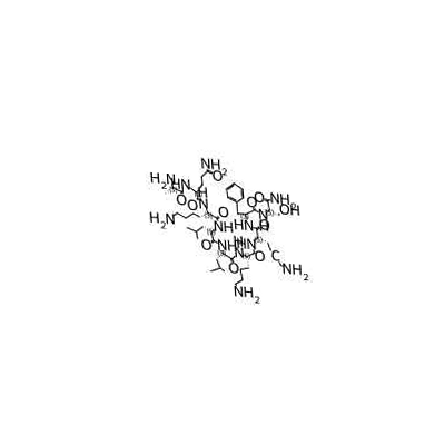 CC(C)C[C@H](NC(=O)[C@H](CCCCN)NC(=O)[C@H](CCC(N)=O)NC(=O)[C@H](C)N)C(=O)N[C@@H](CC(C)C)C(=O)N[C@@H](CCCCN)C(=O)N[C@@H](CCCCN)C(=O)N[C@@H](Cc1ccccc1)C(=O)N[C@@H](CO)C(N)=O